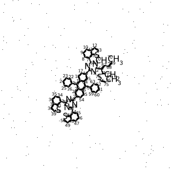 C=NC(=N\C(=N/Cc1cccc2ccsc12)c1ccc2c(-c3ccccc3)c3cc(-c4nc(-c5cccc6ccsc56)nc(-c5cccc6ccsc56)n4)ccc3c(-c3ccccc3)c2c1)/C(=C/C=C\C)C(=C)S/C=C\C